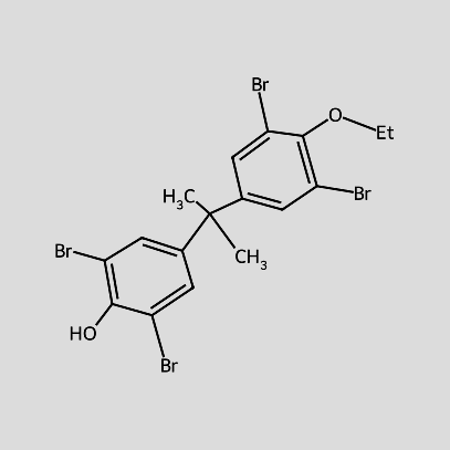 CCOc1c(Br)cc(C(C)(C)c2cc(Br)c(O)c(Br)c2)cc1Br